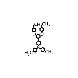 C=Cc1ccc(Oc2cc(Oc3ccc(C=C)cc3)cc(-c3ccc(N(c4ccc(C)cc4)c4ccc(C)cc4)cc3)c2)cc1